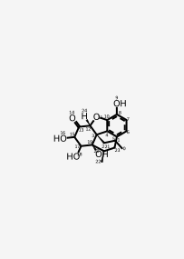 CCC[C@]12c3c4ccc(O)c3O[C@H]1C(=O)C(O)C(O)[C@@]2(O)[C@H](C)C4